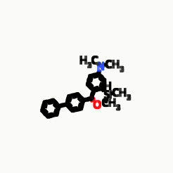 CN(C)c1ccc(C(=O)c2ccc(-c3ccccc3)cc2)c([SiH](C)C)c1